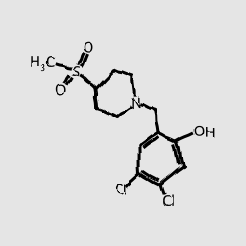 CS(=O)(=O)C1CCN(Cc2cc(Cl)c(Cl)cc2O)CC1